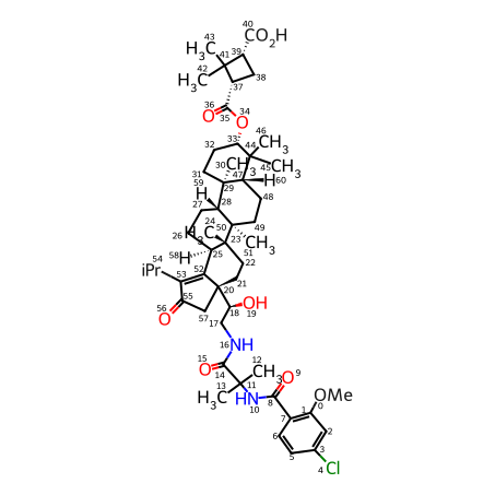 COc1cc(Cl)ccc1C(=O)NC(C)(C)C(=O)NC[C@H](O)[C@@]12CC[C@]3(C)[C@H](CC[C@@H]4[C@@]5(C)CC[C@H](OC(=O)[C@H]6C[C@@H](C(=O)O)C6(C)C)C(C)(C)[C@@H]5CC[C@]43C)C1=C(C(C)C)C(=O)C2